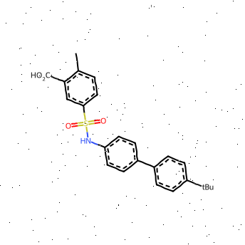 Cc1ccc(S(=O)(=O)Nc2ccc(-c3ccc(C(C)(C)C)cc3)cc2)cc1C(=O)O